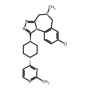 Cc1nccc([C@H]2CC[C@H](c3nnc4n3-c3ccc(Cl)cc3CN(C)C4)CC2)n1